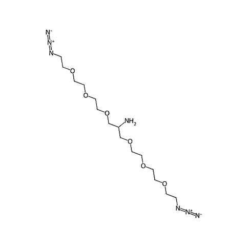 [N-]=[N+]=NCCOCCOCCOCC(N)COCCOCCOCCN=[N+]=[N-]